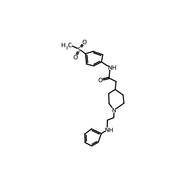 CS(=O)(=O)c1ccc(NC(=O)CC2CCN(CCNc3ccccc3)CC2)cc1